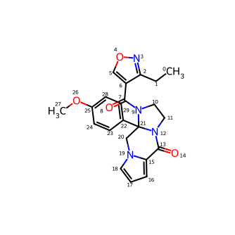 CCc1nocc1C(=O)N1CCN2C(=O)c3cccn3CC12c1ccc(OC)cc1